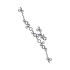 C=CC(=O)OCCCCCCOc1ccc(OC(=O)C2CCC(COc3ccc(OCC4CCC(C(=O)Oc5ccc(OCCCCCCOC(=O)C=C)cc5)CC4)c(/C=N/N(CCOC(=O)C=C)c4nc5ccccc5s4)c3)CC2)cc1